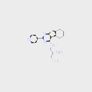 CC[C@@H](N)CNc1nc(-c2ccncc2)nc2sc3c(c12)CCCC3